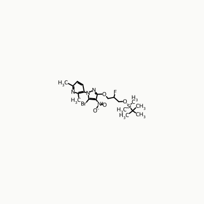 Cc1ccc(-n2nc(OCC(F)CO[Si](C)(C)C(C)(C)C)c([N+](=O)[O-])c2Br)c(C)n1